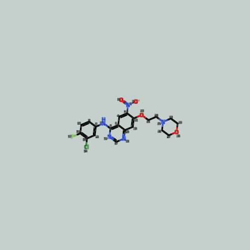 O=[N+]([O-])c1cc2c(Nc3ccc(F)c(Cl)c3)ncnc2cc1OCCN1CCOCC1